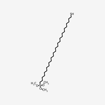 CO[Si](CCCCCCCCCCCCCCCCCCCCCCCCCCCCS)(OC)OC